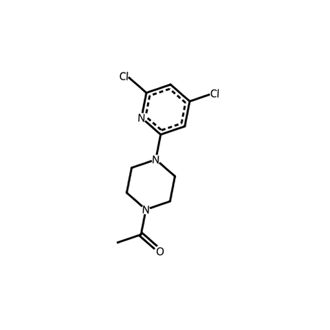 CC(=O)N1CCN(c2cc(Cl)cc(Cl)n2)CC1